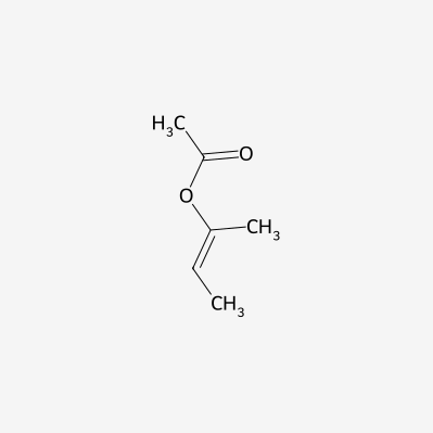 C/C=C(\C)OC(C)=O